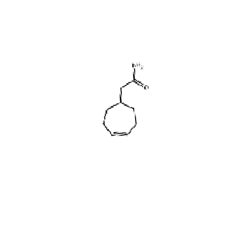 NC(=O)CC1CCC=CCC1